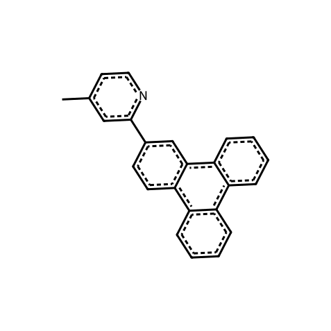 Cc1ccnc(-c2ccc3c4ccccc4c4ccccc4c3c2)c1